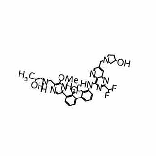 COc1nc(-c2cccc(-c3cccc(Nc4nc(C(F)F)nc5cc(CN6CC[C@@H](O)C6)cnc45)c3C)c2Cl)cnc1CNC[C@@H](C)O